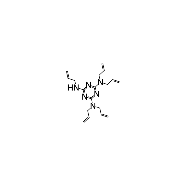 C=CCNc1nc(N(CC=C)CC=C)nc(N(CC=C)CC=C)n1